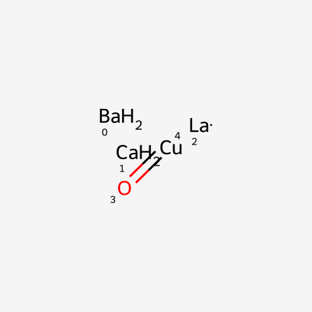 [BaH2].[CaH2].[La].[O]=[Cu]